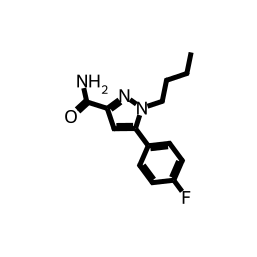 CCCCn1nc(C(N)=O)cc1-c1ccc(F)cc1